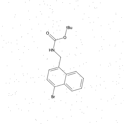 CC(C)(C)OC(=O)NCc1ccc(Br)c2ccccc12